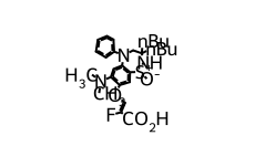 CCCCC1(CCCC)CN(c2ccccc2)c2cc(N(C)C)c(O/C=C(\F)C(=O)O)cc2[S+]([O-])N1